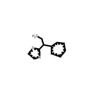 CCC(c1ccccc1)c1ncco1